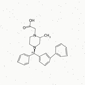 CC1CN([C@H](c2ccccc2)c2cccc(-c3ccccc3)c2)CCN1CC(=O)O